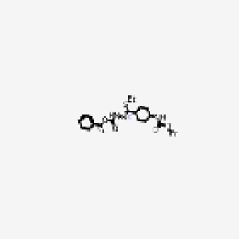 CCS/C(=N\NC(=O)O[C@@H](C)c1ccccc1)C1CCC(NC(=O)OC(C)C)CC1